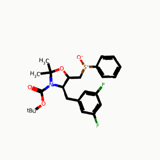 CC(C)(C)OC(=O)N1C(Cc2cc(F)cc(F)c2)C(C[S+]([O-])c2ccccc2)OC1(C)C